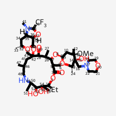 CCC1OC(=O)C(C)C(O[C@H]2C[C@@](C)(OC)[C@](O)(CN3CCOCC3)[C@H](C)O2)C(C)C(O[C@@H]2O[C@H](C)C[C@H]3[C@H]2OC(C(F)(F)F)N3C)C(C)(O)CC(C)CNC(C)C(O)C1(C)O